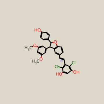 COc1cc(OC)cc(C2c3cc(/C=C/c4c(Cl)c(O)cc(O)c4Cl)ccc3OC2c2ccc(O)cc2)c1